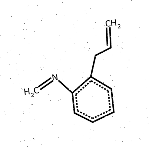 C=CCc1ccccc1N=C